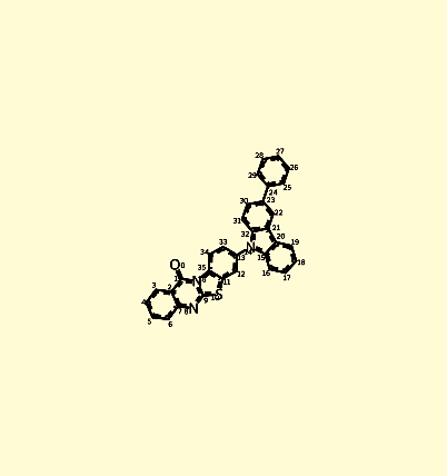 O=c1c2ccccc2nc2sc3cc(-n4c5ccccc5c5cc(-c6ccccc6)ccc54)ccc3n12